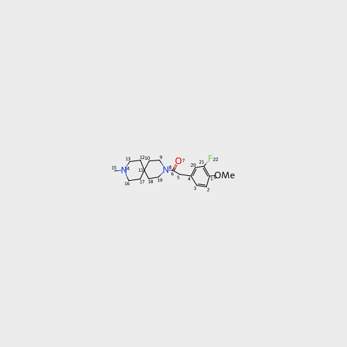 COc1ccc(CC(=O)N2CCC3(CCN(C)CC3)CC2)cc1F